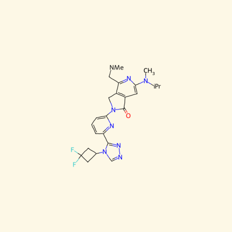 CNCc1nc(N(C)C(C)C)cc2c1CN(c1cccc(-c3nncn3C3CC(F)(F)C3)n1)C2=O